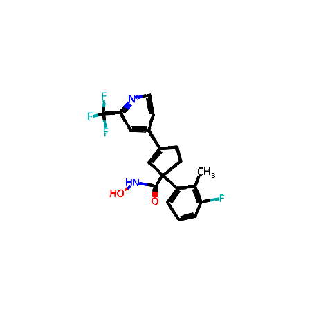 Cc1c(F)cccc1C1(C(=O)NO)C=C(c2ccnc(C(F)(F)F)c2)CC1